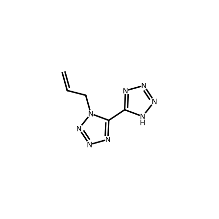 C=CCn1nnnc1-c1nnn[nH]1